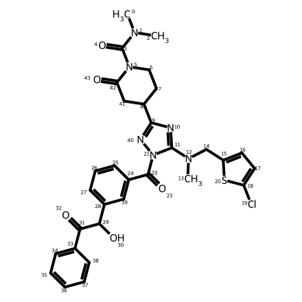 CN(C)C(=O)N1CCC(c2nc(N(C)Cc3ccc(Cl)s3)n(C(=O)c3cccc(C(O)C(=O)c4ccccc4)c3)n2)CC1=O